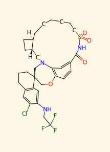 O=C1NS(=O)(=O)CCCCCC[C@@H]2CC[C@H]2CN2C[C@@]3(CCCc4cc(Cl)c(NCC(F)(F)F)cc43)COc3ccc1cc32